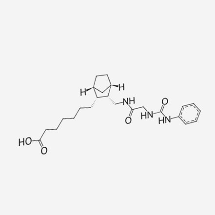 O=C(O)CCCCCC[C@@H]1[C@@H]2CC[C@@H](C2)[C@@H]1CNC(=O)CNC(=O)Nc1ccccc1